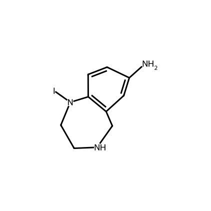 Nc1ccc2c(c1)CNCCN2I